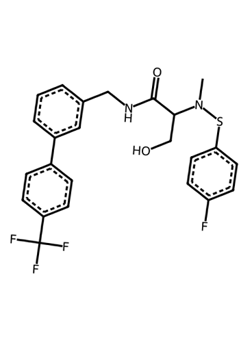 CN(Sc1ccc(F)cc1)C(CO)C(=O)NCc1cccc(-c2ccc(C(F)(F)F)cc2)c1